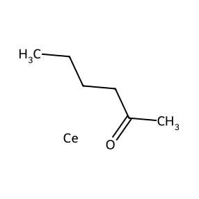 CCCCC(C)=O.[Ce]